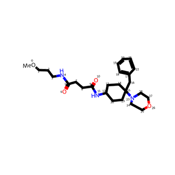 COCCCNC(=O)CCC(=O)NC1CCC(Cc2ccccc2)(N2CCOCC2)CC1